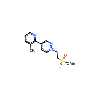 COS(=O)(=O)CC[n+]1ccc(-c2ncccc2C(F)(F)F)cn1